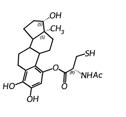 CC(=O)N[C@@H](CS)C(=O)Oc1cc(O)c(O)c2c1C1CC[C@@]3(C)C(CC[C@@H]3O)C1CC2